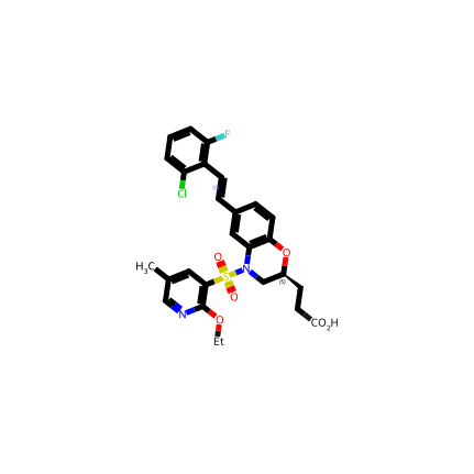 CCOc1ncc(C)cc1S(=O)(=O)N1C[C@H](CCC(=O)O)Oc2ccc(/C=C/c3c(F)cccc3Cl)cc21